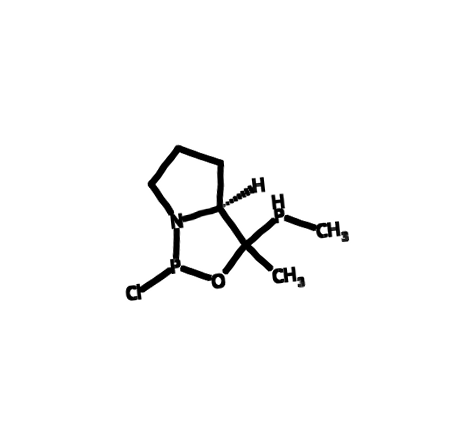 CPC1(C)OP(Cl)N2CCC[C@H]21